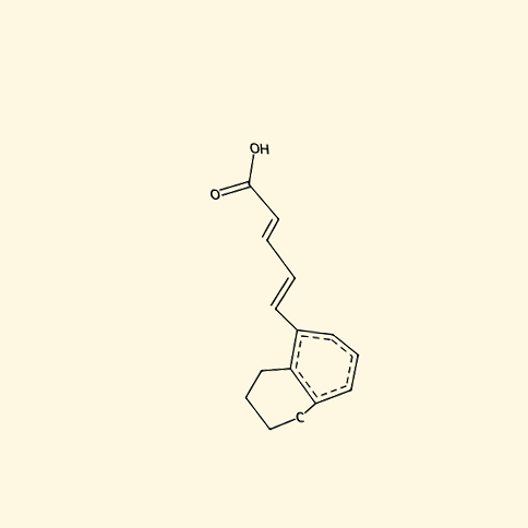 O=C(O)/C=C/C=C/c1cccc2c1CCCC2